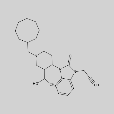 C#CCn1c(=O)n(C2CCN(CC3CCCCCCC3)CC2C(C)O)c2ccccc21